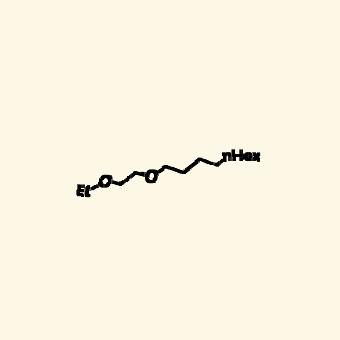 [CH2]COCCOCCCCCCCCCC